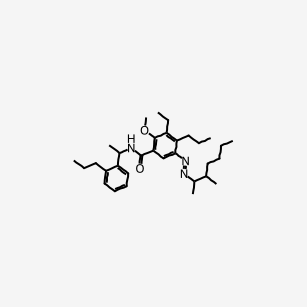 CCCCC(C)C(C)N=Nc1cc(C(=O)NC(C)c2ccccc2CCC)c(OC)c(CC)c1CCC